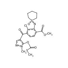 COC(=O)c1ccc(C(=O)c2cnn(C)c2OC(=O)SC)c(Cl)c1N=S1(=O)CCCCC1